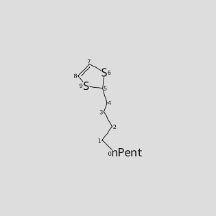 CCCCCCCCCC1SC=CS1